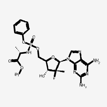 CC(C)OC(=O)[C@H](C)NP(=O)(OCC1O[C@@H](n2cnc3c(N)nc(N)nc32)[C@](C)(F)[C@@H]1O)Oc1ccccc1